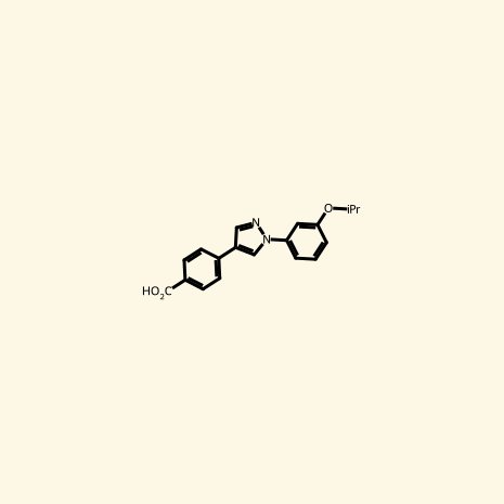 CC(C)Oc1cccc(-n2cc(-c3ccc(C(=O)O)cc3)cn2)c1